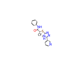 O=C(Nc1ccccc1)C(Sc1nnc(-c2cccnc2)[nH]1)C(F)(F)F